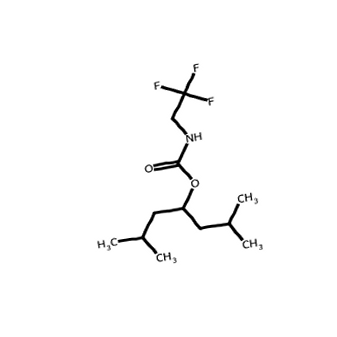 CC(C)CC(CC(C)C)OC(=O)NCC(F)(F)F